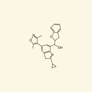 Cc1noc(C)c1-c1cc2c(c(C(O)C3Cc4ccccc4O3)c1)N=C(C1CC1)C2